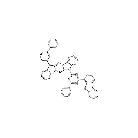 c1ccc(-c2cccc(-n3c4ccccc4c4cc5c(cc43)c3ccccc3n5-c3nc(-c4ccccc4)nc(-c4cccc5c4sc4ccccc45)n3)c2)cc1